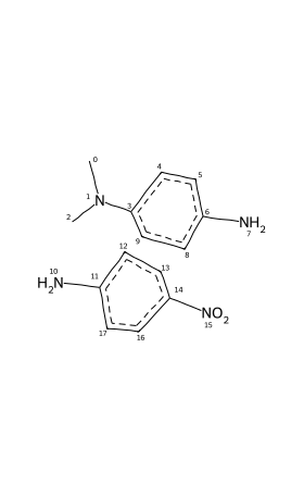 CN(C)c1ccc(N)cc1.Nc1ccc([N+](=O)[O-])cc1